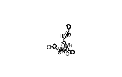 CC(CCNC(=O)OCc1ccccc1)CC(=O)NCCC(C(=O)c1nc(C(=O)NCc2cccc(Cl)c2)co1)c1ccccc1